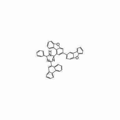 c1ccc(C2N=C(c3cc4ccccc4c4ccccc34)N=C(c3cc(-c4ccc5oc6ccccc6c5c4)cc4oc5ccccc5c34)N2)cc1